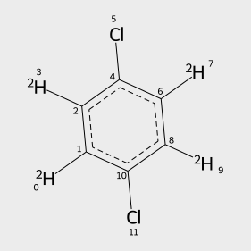 [2H]c1c([2H])c(Cl)c([2H])c([2H])c1Cl